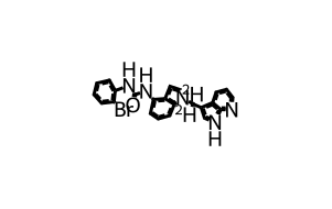 [2H]C([2H])(c1c[nH]c2ncccc12)n1ccc2c(NC(=O)Nc3ccccc3Br)cccc21